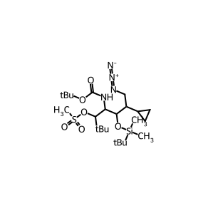 CC(C)(C)OC(=O)NC(C(O[Si](C)(C)C(C)(C)C)C(CN=[N+]=[N-])C1CC1)C(OS(C)(=O)=O)C(C)(C)C